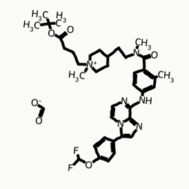 Cc1cc(Nc2nccn3c(-c4ccc(OC(F)F)cc4)cnc23)ccc1C(=O)N(C)CCC1CC[N+](C)(CCCC(=O)OC(C)(C)C)CC1.O=C[O-]